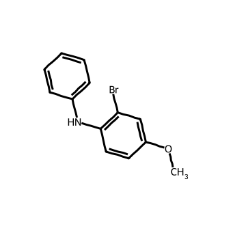 COc1ccc(Nc2ccccc2)c(Br)c1